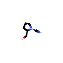 N#Cn1cccc1[C]=O